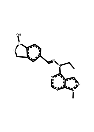 CCN(/N=C/c1ccc2c(c1)COB2O)c1ncnc2c1cnn2C